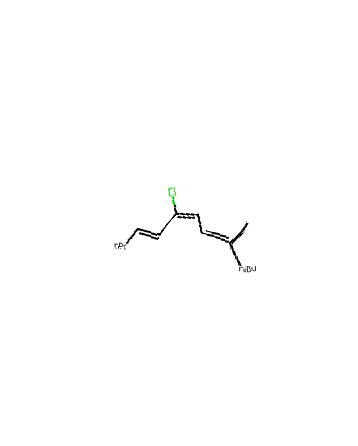 CCC/C=C/C(Cl)=C\C=C(/C)CCCC